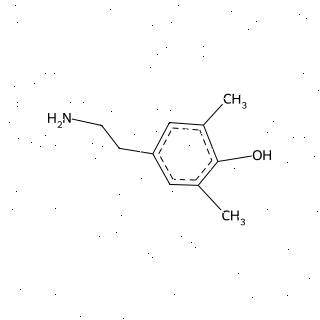 Cc1cc(CCN)cc(C)c1O